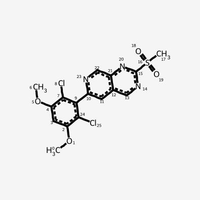 COc1cc(OC)c(Cl)c(-c2cc3cnc(S(C)(=O)=O)nc3cn2)c1Cl